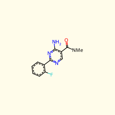 CNC(=O)c1cnc(-c2ccccc2F)nc1N